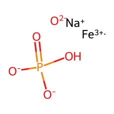 O=P([O-])([O-])O.[Fe+3].[Na+].[O-2]